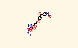 NC(=O)CC(NC(=O)CCCOc1ccc(C(=O)c2ccc(N=C=O)cc2)cc1)C(=O)O